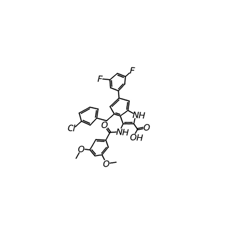 COc1cc(OC)cc(C(=O)Nc2c(C(=O)O)[nH]c3cc(-c4cc(F)cc(F)c4)cc(Cc4cccc(Cl)c4)c23)c1